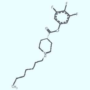 CCCCCCC[Si@H]1CC[C@H](C(=O)Oc2cc(F)c(F)c(F)c2)CC1